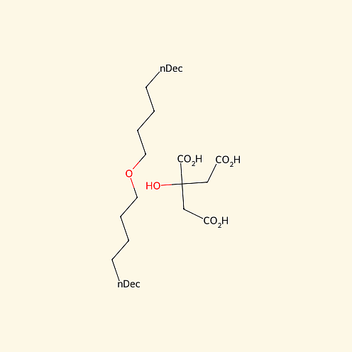 CCCCCCCCCCCCCCOCCCCCCCCCCCCCC.O=C(O)CC(O)(CC(=O)O)C(=O)O